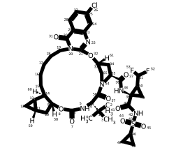 CC(C)(C)[C@@H]1NC(=O)O[C@@H]2C[C@@H]3CC3[C@H]2CCCCCn2c(nc3cc(Cl)ccc3c2=O)O[C@@H]2C[C@@H](C(=O)N[C@]3(C(=O)NS(=O)(=O)C4CC4)CC3C(F)F)N(C2)C1=O